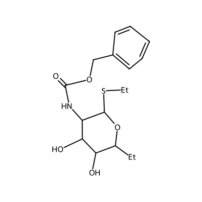 CCSC1OC(CC)C(O)C(O)C1NC(=O)OCc1ccccc1